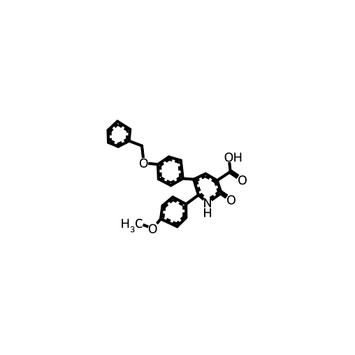 COc1ccc(-c2[nH]c(=O)c(C(=O)O)cc2-c2ccc(OCc3ccccc3)cc2)cc1